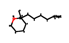 CCCCCCCCCCC[Si]1(C)CCCCO1